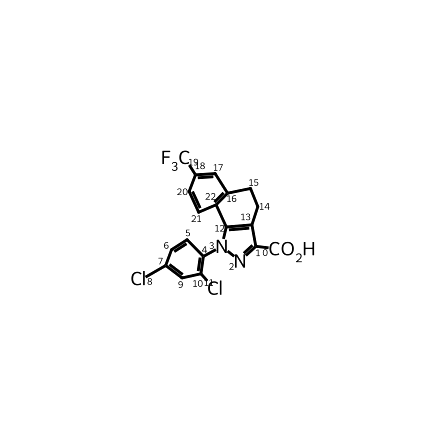 O=C(O)c1nn(-c2ccc(Cl)cc2Cl)c2c1CCc1cc(C(F)(F)F)ccc1-2